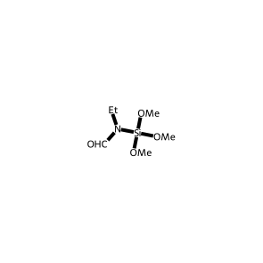 CCN(C=O)[Si](OC)(OC)OC